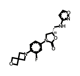 O=C1O[C@@H](CNc2ccon2)CN1c1ccc(N2CC3(COC3)C2)c(F)c1